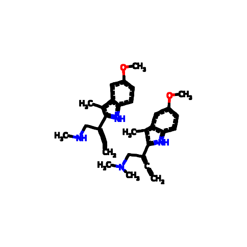 C=C=C(CN(C)C)c1[nH]c2ccc(OC)cc2c1C.C=C=C(CNC)c1[nH]c2ccc(OC)cc2c1C